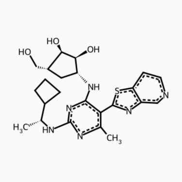 Cc1nc(N[C@H](C)C2CCC2)nc(N[C@@H]2C[C@H](CO)[C@@H](O)[C@H]2O)c1-c1nc2cnccc2s1